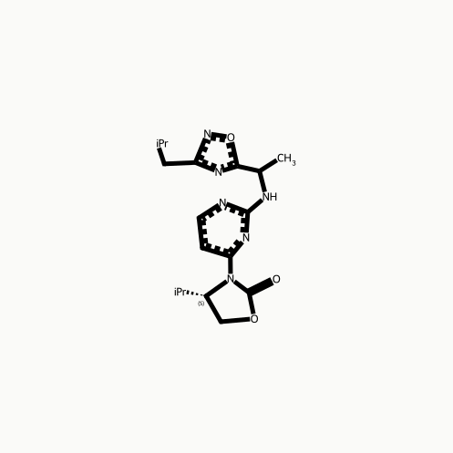 CC(C)Cc1noc(C(C)Nc2nccc(N3C(=O)OC[C@@H]3C(C)C)n2)n1